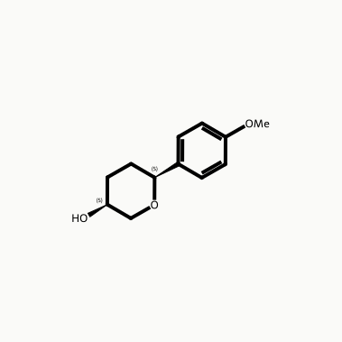 COc1ccc([C@@H]2CC[C@H](O)CO2)cc1